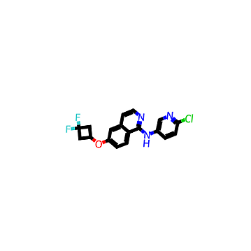 FC1(F)CC(Oc2ccc3c(Nc4ccc(Cl)nc4)nccc3c2)C1